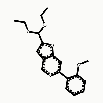 CCOC(OCC)c1cc2cnc(-c3ccccc3OC)cc2o1